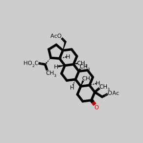 CC(=O)OCC1(C)C(=O)CC[C@]2(C)[C@H]3CC[C@@H]4[C@H]5[C@H](C(C)C(=O)O)CC[C@]5(COC(C)=O)CC[C@@]4(C)[C@]3(C)CC[C@@H]12